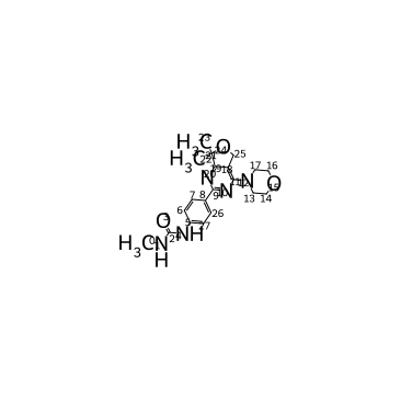 CNC(=O)Nc1ccc(-c2nc(N3CCOCC3)c3c(n2)C(C)(C)OC3)cc1